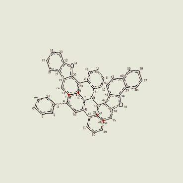 c1ccc(-c2ccc(N(c3ccccc3-c3cccc4c3oc3ccccc34)c3cccc4oc5c6ccccc6ccc5c34)c(-c3ccccc3)c2)cc1